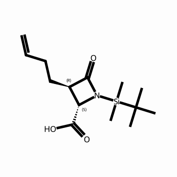 C=CCC[C@H]1C(=O)N([Si](C)(C)C(C)(C)C)[C@@H]1C(=O)O